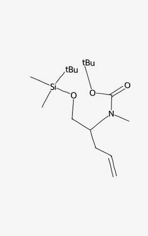 C=CCC(CO[Si](C)(C)C(C)(C)C)N(C)C(=O)OC(C)(C)C